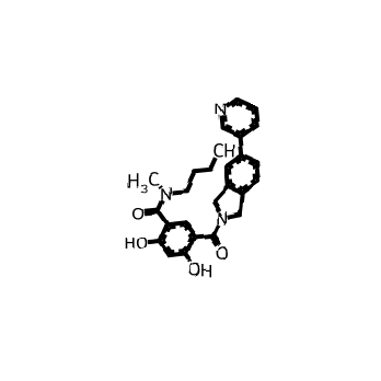 CCCCN(C)C(=O)c1cc(C(=O)N2Cc3ccc(-c4cccnc4)cc3C2)c(O)cc1O